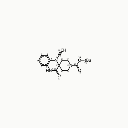 C#CN1c2ccccc2NC(=O)C12CCN(C(=O)OC(C)(C)C)CC2